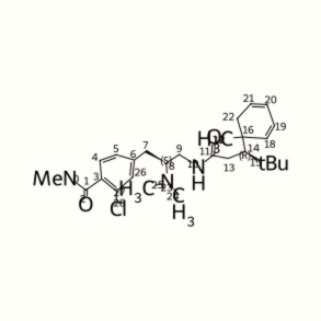 CNC(=O)c1ccc(C[C@@H](CNC(=O)C[C@H](C(C)(C)C)C2(C)C=CC=CC2)N(C)C)cc1Cl